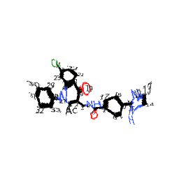 CC(=O)c1c(CNC(=O)c2ccc(-c3ncc[nH]3)cc2)c(=O)c2ccc(Cl)cc2n1-c1ccccc1